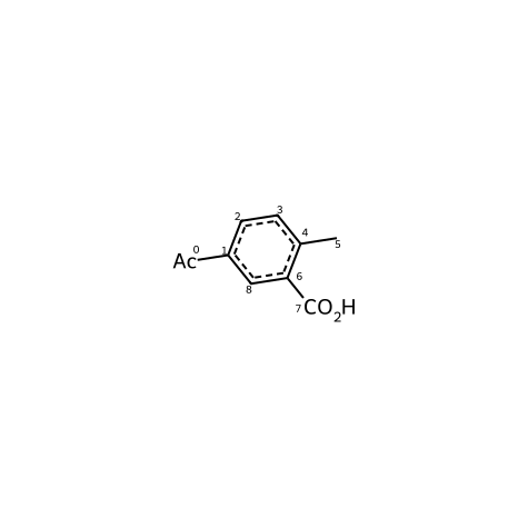 CC(=O)c1ccc(C)c(C(=O)O)c1